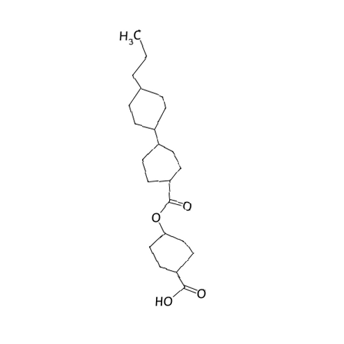 CCCC1CCC(C2CCC(C(=O)OC3CCC(C(=O)O)CC3)CC2)CC1